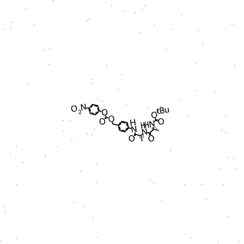 C[C@H](NC(=O)OC(C)(C)C)C(=O)N[C@@H](C)C(=O)Nc1ccc(COC(=O)Oc2ccc([N+](=O)[O-])cc2)cc1